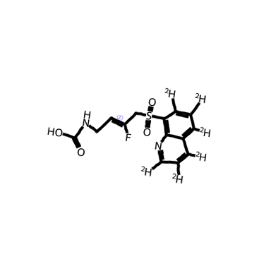 [2H]c1nc2c(S(=O)(=O)C/C(F)=C/CNC(=O)O)c([2H])c([2H])c([2H])c2c([2H])c1[2H]